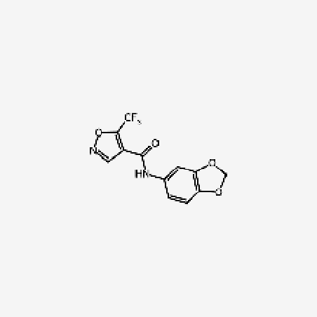 O=C(Nc1ccc2c(c1)OCO2)c1cnoc1C(F)(F)F